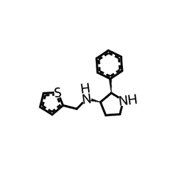 c1ccc([C@H]2NCC[C@H]2NCc2cccs2)cc1